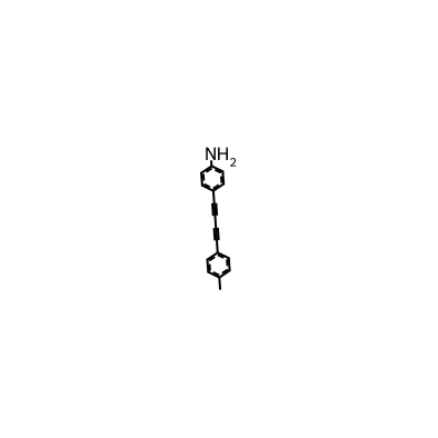 Cc1ccc(C#CC#Cc2ccc(N)cc2)cc1